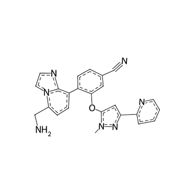 Cn1nc(-c2ccccn2)cc1Oc1cc(C#N)ccc1-c1ccc(CN)n2ccnc12